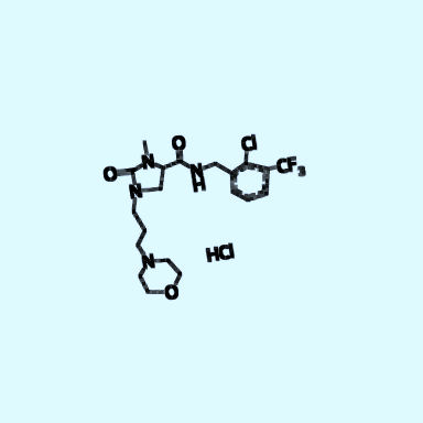 CN1C(=O)N(CCCN2CCOCC2)CC1C(=O)NCc1cccc(C(F)(F)F)c1Cl.Cl